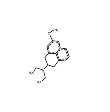 CCN(CC)C1Cc2cccc3cc(OC)cc(c23)C1